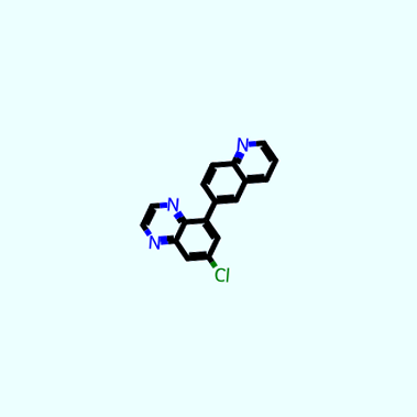 Clc1cc(-c2ccc3ncccc3c2)c2nccnc2c1